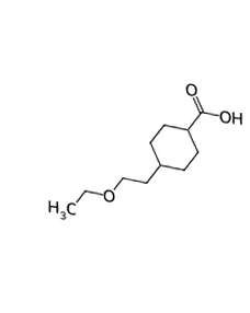 CCOCCC1CCC(C(=O)O)CC1